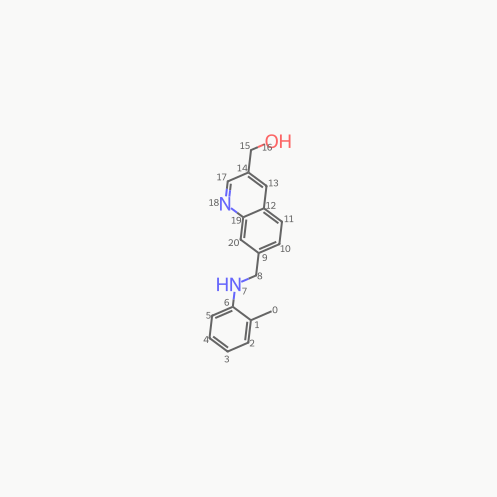 Cc1ccccc1NCc1ccc2cc(CO)cnc2c1